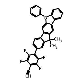 C#Cc1c(F)c(F)c(-c2ccc3c(c2)C(C)(C)c2cc4c5ccccc5n(-c5ccccc5)c4cc2-3)c(F)c1F